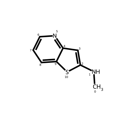 CNc1cc2ncccc2s1